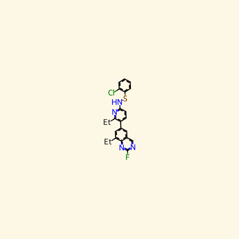 CCc1nc(NSc2ccccc2Cl)ccc1-c1cc(CC)c2nc(F)ncc2c1